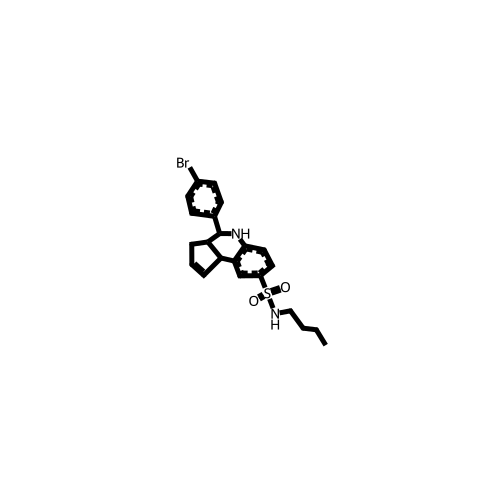 CCCCNS(=O)(=O)c1ccc2c(c1)C1C=CCC1C(c1ccc(Br)cc1)N2